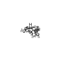 CCOC(=O)C[C@@H]1O[C@@H](c2cccc(OC)c2Cl)c2cc(C(F)(F)F)ccc2NC1=S